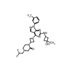 CC1(O)CC(Nc2nc(N3CC(N4CCN(CC(F)F)CC4=O)C3)c3cnn(-c4cccc(C(F)(F)F)c4)c3n2)C1